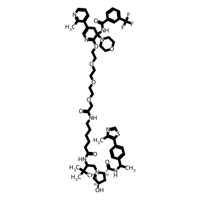 Cc1ncccc1C1=CN=C(OCCOCCOCCOCC(=O)NCCCCCC(=O)NC(CN2C[C@H](O)C[C@H]2C(=O)NC(C)c2ccc(-c3scnc3C)cc2)C(C)(C)C)C(NC(=O)c2cccc(C(F)(F)F)c2)(N2CCOCC2)C1